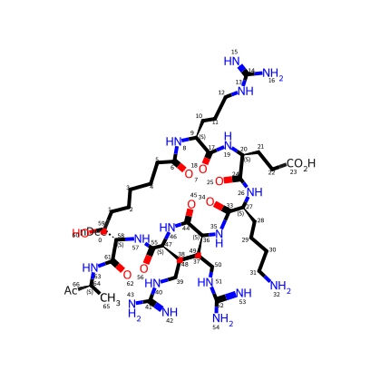 CCCCCCCCCCCCCCCC(=O)N[C@@H](CCCNC(=N)N)C(=O)N[C@@H](CCC(=O)O)C(=O)N[C@@H](CCCCN)C(=O)N[C@@H](CCCNC(=N)N)C(=O)N[C@@H](CCCNC(=N)N)C(=O)N[C@@H](CO)C(=O)N[C@@H](C)C(C)=O